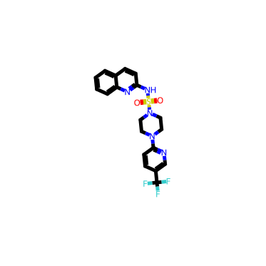 O=S(=O)(Nc1ccc2ccccc2n1)N1CCN(c2ccc(C(F)(F)F)cn2)CC1